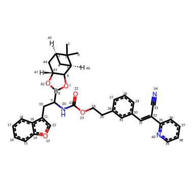 CC1(C)[C@H]2C[C@@H]1C1OB(C(Cc3coc4ccccc34)NC(=O)OCCc3cccc(C=C(C#N)c4ccccn4)c3)O[C@@H]1C2